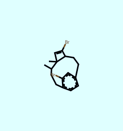 CC1CCc2ccc(cc2Br)CCC2C(Br)=CC12C